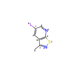 Cc1nsc2ncc(I)cc12